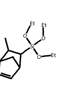 CCO[Si](OCC)(OCC)C1C2C=CC(C2)C1C